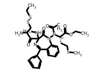 CCOC(=O)[C@H](CCSC)N(C(C)=O)N1C(=O)C(NC)(C(=O)C(N)CSSCC)N=C(c2ccccc2)c2ccccc21